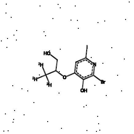 [2H]C([2H])([2H])C(CO)Oc1cc(I)nc(Br)c1O